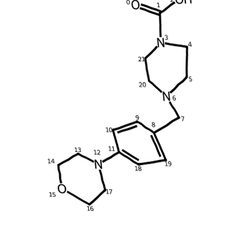 O=C(O)N1CCN(Cc2ccc(N3CCOCC3)cc2)CC1